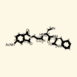 CNC(=O)[C@H](Cc1ccccc1)NC(=O)[C@H](CC(C)C)NC(CCN1C(=O)c2ccc(NC(C)=O)cc2C1=O)C(=O)O